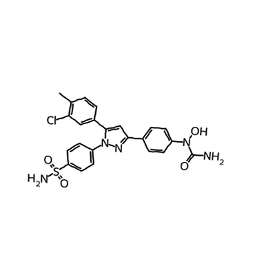 Cc1ccc(-c2cc(-c3ccc(N(O)C(N)=O)cc3)nn2-c2ccc(S(N)(=O)=O)cc2)cc1Cl